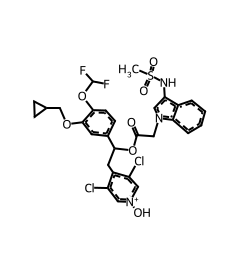 CS(=O)(=O)Nc1cn(CC(=O)OC(Cc2c(Cl)c[n+](O)cc2Cl)c2ccc(OC(F)F)c(OCC3CC3)c2)c2ccccc12